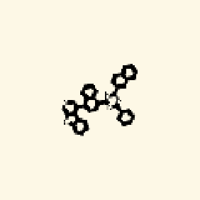 c1ccc(-c2nc(-c3ccc4ccccc4c3)nc(-c3ccc(-c4cncc5oc6ccccc6c45)c4ccccc34)n2)cc1